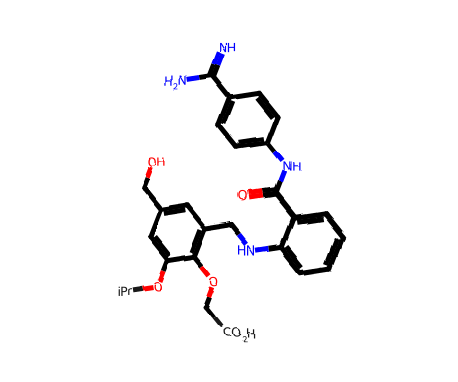 CC(C)Oc1cc(CO)cc(CNc2ccccc2C(=O)Nc2ccc(C(=N)N)cc2)c1OCC(=O)O